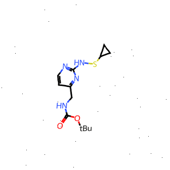 CC(C)(C)OC(=O)NCc1ccnc(NSC2CC2)n1